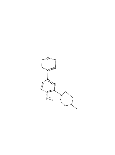 CC1CCN(c2nc(C3=CCOCC3)ccc2[N+](=O)[O-])CC1